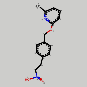 Cc1cccc(OCc2ccc(CC[N+](=O)O)cc2)n1